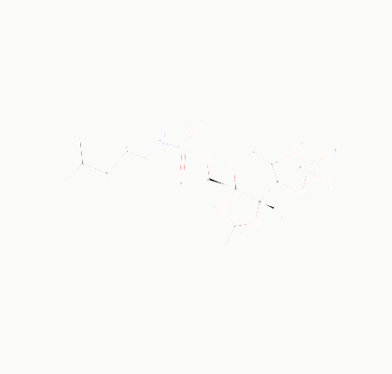 CCCCC(C)CCCNS(=O)(=O)OC[C@@]12OC[C@H]3OS(=O)(=O)O[C@H]3[C@@H]1OC(C)O2